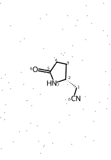 N#CC[C@H]1CCC(=O)N1